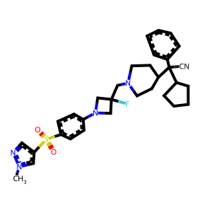 Cn1cc(S(=O)(=O)c2ccc(N3CC(F)(CN4CCC(C(C#N)(c5ccccc5)C5CCCC5)CC4)C3)cc2)cn1